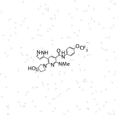 CNc1nc(N2CC[C@@H](O)C2)c(-c2ccn[nH]2)cc1C(=O)Nc1ccc(OC(F)(F)F)cc1